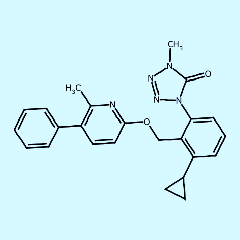 Cc1nc(OCc2c(C3CC3)cccc2-n2nnn(C)c2=O)ccc1-c1ccccc1